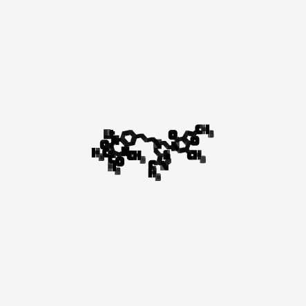 CCN1C(=O)C(C)(C)C(=O)N(C)c2cc(CCCN(CCn3cc(C)c4oc(C)cc4c3=O)Cc3scnc3C)ccc21